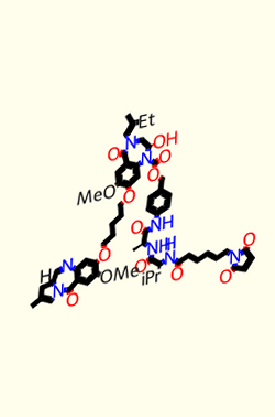 CC/C(C)=C\N1C[C@H](O)N(C(=O)OCc2ccc(NC(=O)[C@H](C)NC(=O)[C@@H](NC(=O)CCCCCN3C(=O)C=CC3=O)C(C)C)cc2)c2cc(OCCCCCOc3cc4c(cc3OC)C(=O)N3C=C(C)C[C@H]3C=N4)c(OC)cc2C1=O